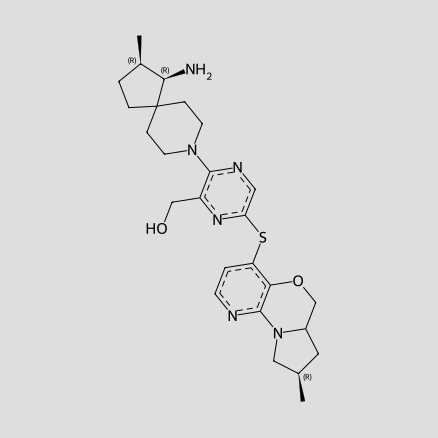 C[C@@H]1CC2COc3c(Sc4cnc(N5CCC6(CC[C@@H](C)[C@H]6N)CC5)c(CO)n4)ccnc3N2C1